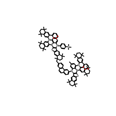 Cc1cc2c3c(c1)N(c1ccc4ccc5cc(CC6(C)CCC(C)(C)c7cc8c9c(sc8cc76)B6c7cc8c(cc7N(c7cc%10c(cc7-c7ccccc7)C(C)(C)CCC%10(C)C)c7cc(C)cc(c76)N9c6ccc([Si](C)(C)C)cc6)C(C)(C)CCC8(C)C)ccc5c4c1)c1c(sc4cc5c(cc14)C(C)(C)CCC5(C)C)B3c1cc3c(cc1N2c1cc2c(cc1-c1ccccc1)C(C)(C)CCC2(C)C)C(C)(C)CCC3(C)C